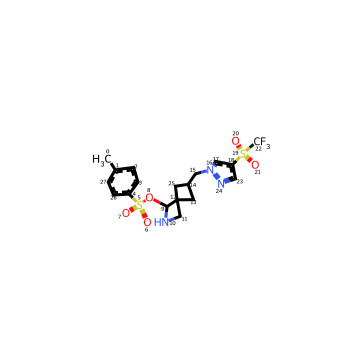 Cc1ccc(S(=O)(=O)OC2NCC23CC(Cn2cc(S(=O)(=O)C(F)(F)F)cn2)C3)cc1